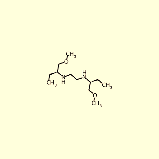 CC[C@@H](COC)NCCN[C@@H](CC)COC